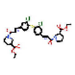 CCOC(=O)C1CCCN(C(=O)/C=C/c2ccc(Sc3ccc(/C=C/C(=O)N4CCCC(C(=O)OCC)C4)cc3Cl)c(Cl)c2)C1